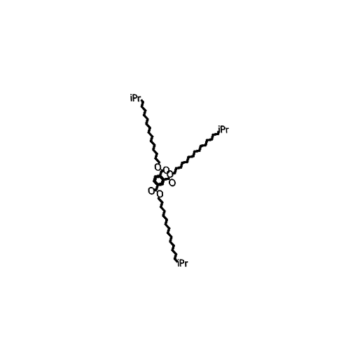 CC(C)CCCCCCCCCCCCCCCOC(=O)c1ccc(C(=O)OCCCCCCCCCCCCCCCC(C)C)c(C(=O)OCCCCCCCCCCCCCCCC(C)C)c1